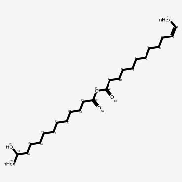 CCCCCC/C=C\CCCCCCCCCC(=O)OC(=O)CCCCCCCCCCC(O)CCCCCC